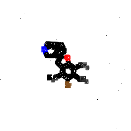 Cc1c(C)c2c(c(C)c1Br)CC1(O2)C2CC3CC1CN(C3)C2